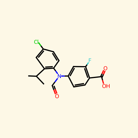 CC(C)c1cc(Cl)ccc1N(C=O)c1ccc(C(=O)O)c(F)c1